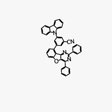 N#Cc1cc(-c2cccc3oc4c(-c5ccccc5)nc(-c5ccccc5)nc4c23)cc(-n2c3ccccc3c3ccccc32)c1